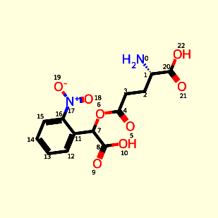 N[C@@H](CCC(=O)OC(C(=O)O)c1ccccc1[N+](=O)[O-])C(=O)O